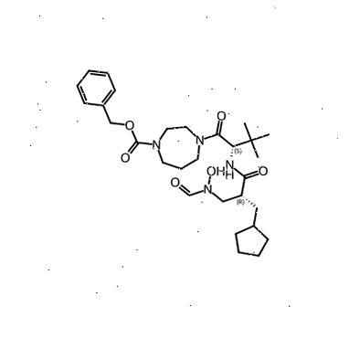 CC(C)(C)[C@H](NC(=O)[C@H](CC1CCCC1)CN(O)C=O)C(=O)N1CCCN(C(=O)OCc2ccccc2)CC1